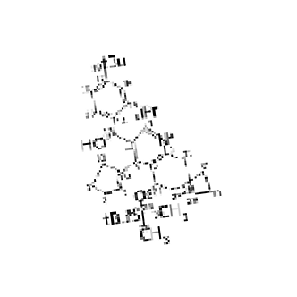 CC(C)c1nc2c(c(C3=CCCC3)c1[C@H](O)c1ccc(C(C)(C)C)cc1)C(O[Si](C)(C)C(C)(C)C)CC1(CCC1)C2